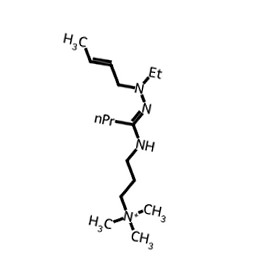 CC=CCN(CC)/N=C(\CCC)NCCC[N+](C)(C)C